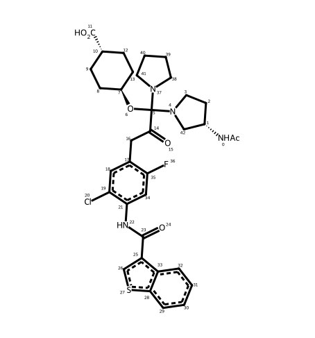 CC(=O)N[C@H]1CCN(C(O[C@H]2CC[C@H](C(=O)O)CC2)(C(=O)Cc2cc(Cl)c(NC(=O)c3csc4ccccc34)cc2F)N2CCCC2)C1